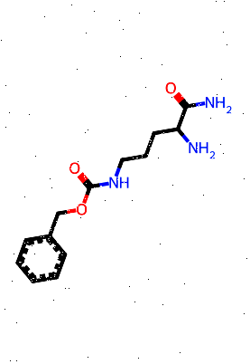 NC(=O)C(N)CCCNC(=O)OCc1ccccc1